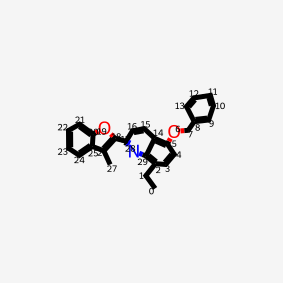 CCc1ccc(OCc2ccccc2)c2ccc(-c3oc4ccccc4c3C)nc12